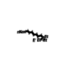 CCCCCCCCCCCCCCCC[P+](CC)(CC)CC.[F-]